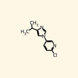 CC(C)c1cn(-c2ccc(Cl)nc2)cn1